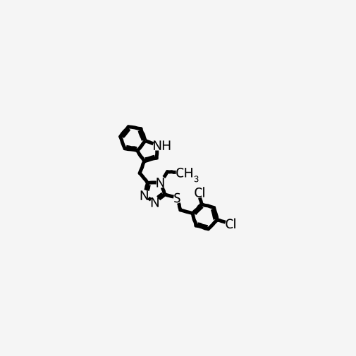 CCn1c(Cc2c[nH]c3ccccc23)nnc1SCc1ccc(Cl)cc1Cl